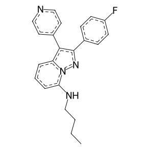 CCCCNc1cccc2c(-c3ccncc3)c(-c3ccc(F)cc3)nn12